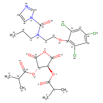 CC(C)C(=O)O[C@@H]1C(=O)OC(=O)[C@H]1OC(=O)C(C)C.CCCN(CCOc1c(Cl)cc(Cl)cc1Cl)C(=O)n1ccnc1